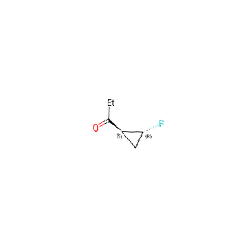 CCC(=O)[C@@H]1C[C@H]1F